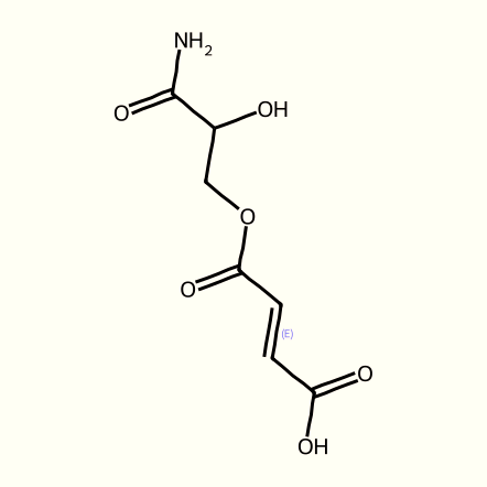 NC(=O)C(O)COC(=O)/C=C/C(=O)O